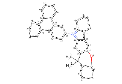 CC1(C)c2ccccc2Oc2cc3c4ccccc4n(-c4ccc5c6ccccc6c6ccccc6c5c4)c3cc21